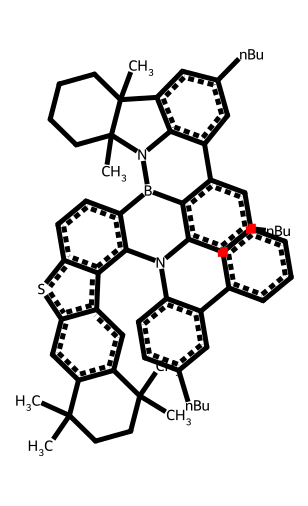 CCCCc1ccc(N2c3cc(CCCC)cc4c3B(c3ccc5sc6cc7c(cc6c5c32)C(C)(C)CCC7(C)C)N2c3c-4cc(CCCC)cc3C3(C)CCCCC23C)c(-c2ccccc2)c1